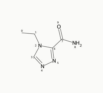 CCn1[c]nnc1C(N)=O